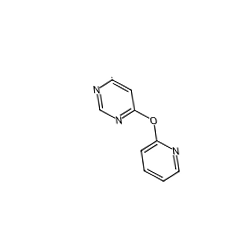 [c]1cc(Oc2ccccn2)ncn1